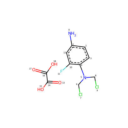 Nc1ccc(N(CCl)CCl)c(F)c1.O=C(O)C(=O)O